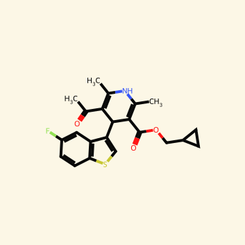 CC(=O)C1=C(C)NC(C)=C(C(=O)OCC2CC2)C1c1csc2ccc(F)cc12